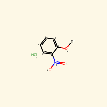 Cl.O=[N+]([O-])c1ccccc1[O][Ti]